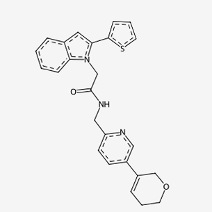 O=C(Cn1c(-c2cccs2)cc2ccccc21)NCc1ccc(C2=CCCOC2)cn1